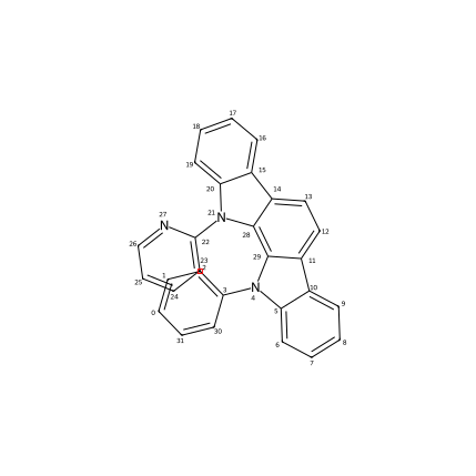 c1ccc(-n2c3ccccc3c3ccc4c5ccccc5n(-c5ccccn5)c4c32)cc1